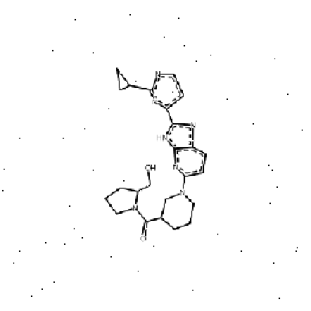 O=C(C1CCCN(c2ccc3nc(-c4ccnc(C5CC5)n4)[nH]c3n2)C1)N1CCCC1CO